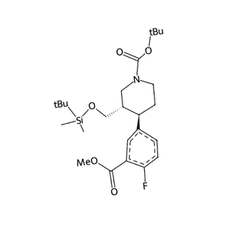 COC(=O)c1cc([C@@H]2CCN(C(=O)OC(C)(C)C)C[C@H]2CO[Si](C)(C)C(C)(C)C)ccc1F